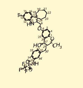 C[C@H]1Oc2ccc(OCC3Nc4cc(F)ccc4S34CCCCCC4)cc2[C@H](O)[C@@H]1Cc1cccc(NS(=O)(=O)C(F)(F)F)c1